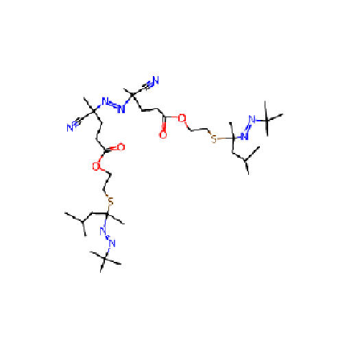 CC(C)CC(C)(N=NC(C)(C)C)SCCOC(=O)CCC(C)(C#N)N=NC(C)(C#N)CCC(=O)OCCSC(C)(CC(C)C)N=NC(C)(C)C